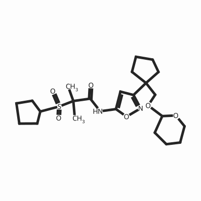 CC(C)(C(=O)Nc1cc(C2(COC3CCCCO3)CCCC2)no1)S(=O)(=O)C1CCCC1